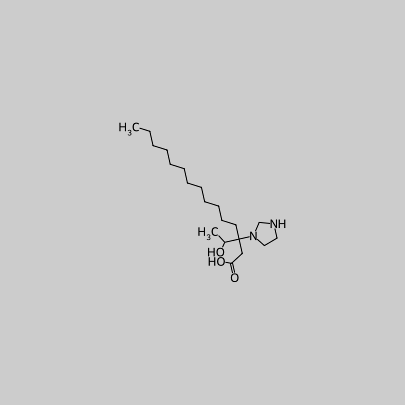 CCCCCCCCCCCCC(CC(=O)O)(C(C)O)N1CCNC1